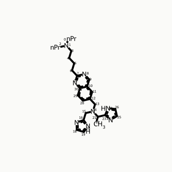 CCCN(CCC)CCCCc1ncc2cc(CN(Cc3ncc[nH]3)C(C)c3ncc[nH]3)ccc2n1